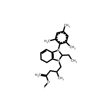 C=C(CC(C)CN1C2=C(C=CCC2)N(c2c(C)cc(C)cc2C)C1CC)OI